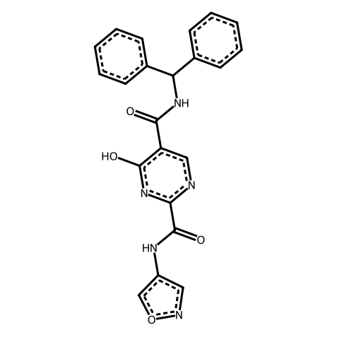 O=C(Nc1cnoc1)c1ncc(C(=O)NC(c2ccccc2)c2ccccc2)c(O)n1